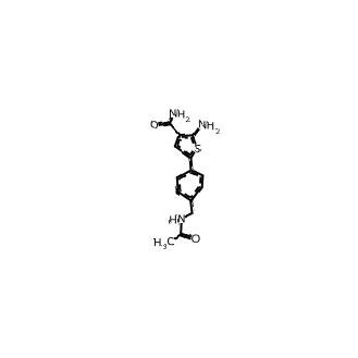 CC(=O)NCc1ccc(-c2cc(C(N)=O)c(N)s2)cc1